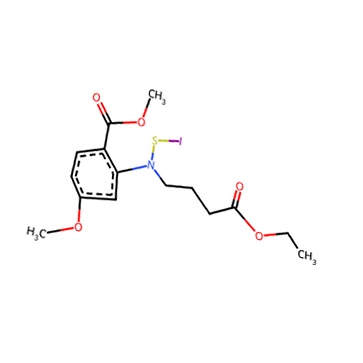 CCOC(=O)CCCN(SI)c1cc(OC)ccc1C(=O)OC